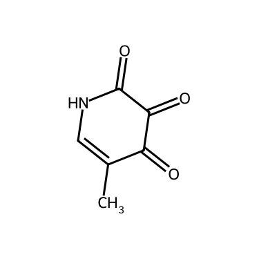 CC1=CNC(=O)C(=O)C1=O